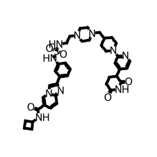 O=C1CCC(c2ccnc(N3CCC(CN4CCN(CCNS(=O)(=O)Nc5cccc(-c6cn7cc(C(=O)NC8CCC8)ccc7n6)c5)CC4)CC3)c2)C(=O)N1